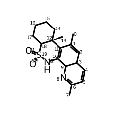 CC1=CC2C=CC(C)=NC2C2=C1[C@@]1(C)CCCCC1S(=O)(=O)N2